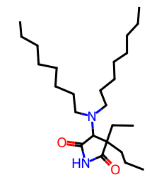 CCCCCCCCN(CCCCCCCC)C1C(=O)NC(=O)C1(CC)CCC